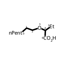 CCCCCCCOC(CC)C(=O)O